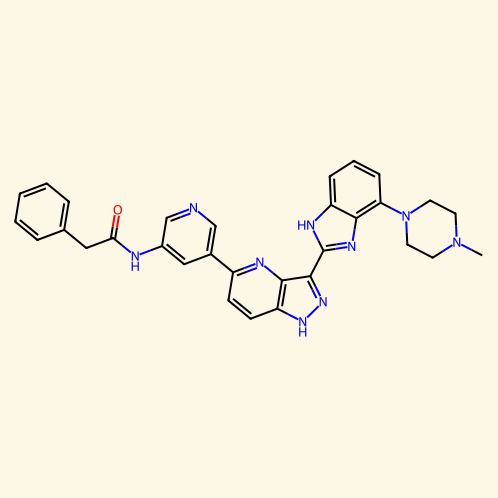 CN1CCN(c2cccc3[nH]c(-c4n[nH]c5ccc(-c6cncc(NC(=O)Cc7ccccc7)c6)nc45)nc23)CC1